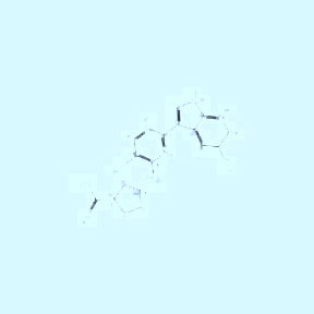 O=C(O)[C@H]1CC[C@@H](Nc2nc(-c3c[nH]c4c3=CC(Cl)CN=4)ncc2F)C1